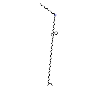 CCCCCCCC/C=C\CCCCCCCC(=O)OCCCCCCCCCCCCCCCCCCCCCCC(C)CC